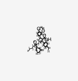 CCCCN(C(=O)CN1CC(c2ccc3c(c2)OCCO3)C(C(=O)O)C1c1ccc(CC)cc1)c1cccc(C)c1